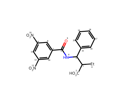 CCC(C(=O)O)C(NC(=O)c1cc([N+](=O)[O-])cc([N+](=O)[O-])c1)c1ccccc1